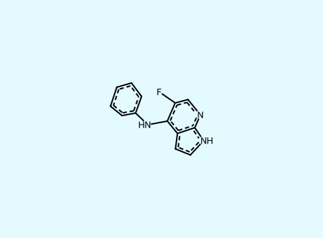 Fc1cnc2[nH]ccc2c1Nc1ccccc1